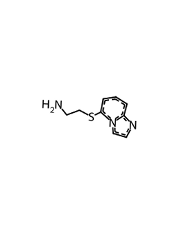 NCCSc1cccc2nccn12